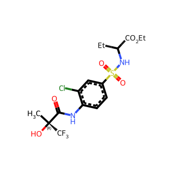 CCOC(=O)C(CC)NS(=O)(=O)c1ccc(NC(=O)[C@@](C)(O)C(F)(F)F)c(Cl)c1